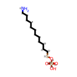 NCCCCCCCCCCCCSOS(=O)(=O)O